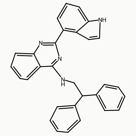 c1ccc(C(CNc2nc(-c3cccc4[nH]ccc34)nc3ccccc23)c2ccccc2)cc1